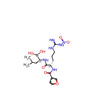 CC(C)C[C@H](NC(=O)[C@H](CCCNC(=N)N[N+](=O)[O-])NC(=O)c1ccoc1)B(O)O